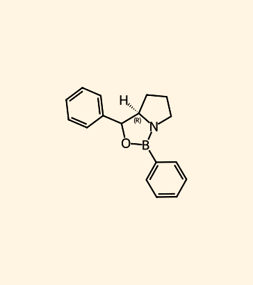 c1ccc(B2OC(c3ccccc3)[C@H]3CCCN23)cc1